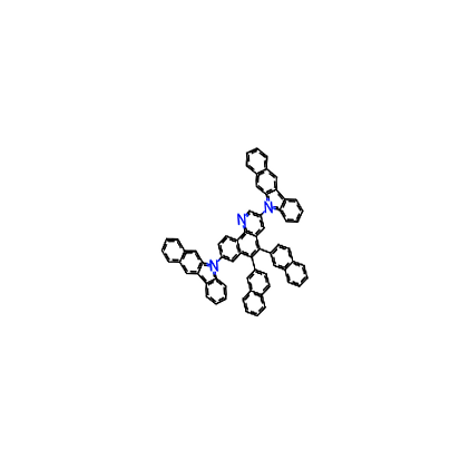 c1ccc2cc(-c3c(-c4ccc5ccccc5c4)c4cc(-n5c6ccccc6c6cc7ccccc7cc65)cnc4c4ccc(-n5c6ccccc6c6cc7ccccc7cc65)cc34)ccc2c1